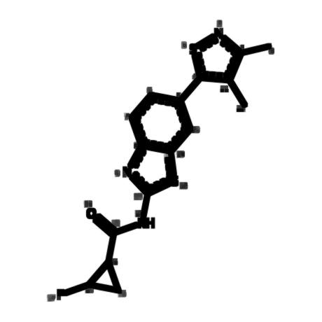 Cc1nsc(-c2ccc3nc(NC(=O)C4CC4F)sc3c2)c1C